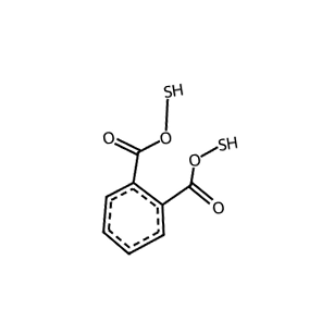 O=C(OS)c1ccccc1C(=O)OS